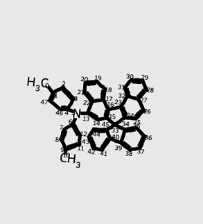 Cc1ccc(N(c2ccc(C)cc2)c2cc3c(c4ccccc24)-c2c(ccc4ccccc24)C32c3ccccc3-c3ccccc32)cc1